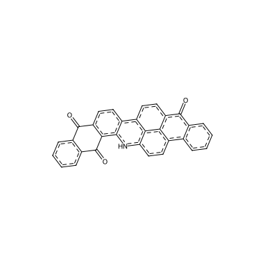 O=C1c2ccccc2C(=O)c2c1ccc1c2[nH]c2ccc3c4ccccc4c(=O)c4ccc1c2c43